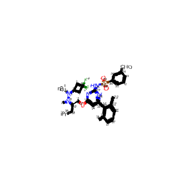 CCCCN(C1CC(F)(F)C1)N(C)[C@@H](COc1cc(-c2c(C)cccc2C)nc(NS(=O)(=O)c2cccc(C=O)c2)n1)CC(C)C